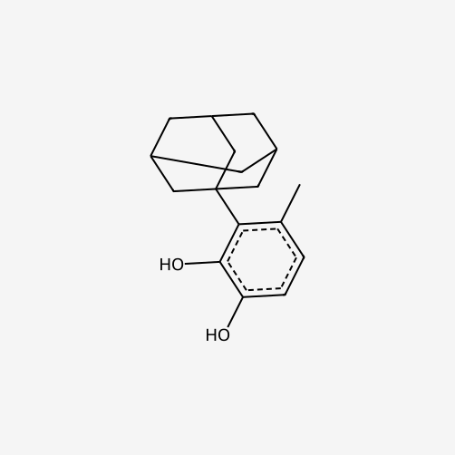 Cc1ccc(O)c(O)c1C12CC3CC(CC(C3)C1)C2